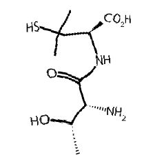 C[C@H](O)[C@@H](N)C(=O)N[C@H](C(=O)O)C(C)(C)S